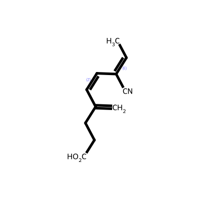 C=C(/C=C\C(C#N)=C/C)CCC(=O)O